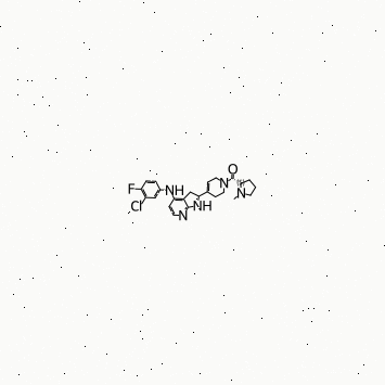 CN1CCC[C@H]1C(=O)N1CC=C(C2Cc3c(Nc4ccc(F)c(Cl)c4)ccnc3N2)CC1